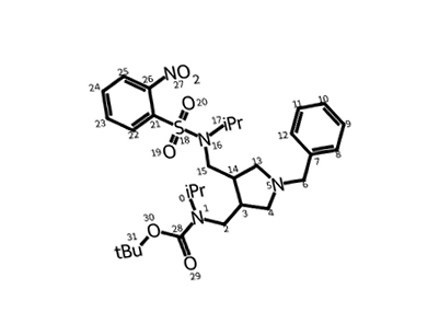 CC(C)N(CC1CN(Cc2ccccc2)CC1CN(C(C)C)S(=O)(=O)c1ccccc1[N+](=O)[O-])C(=O)OC(C)(C)C